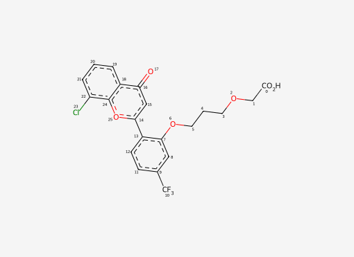 O=C(O)COCCCOc1cc(C(F)(F)F)ccc1-c1cc(=O)c2cccc(Cl)c2o1